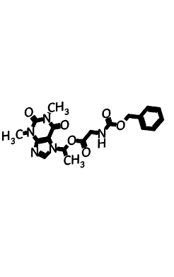 CC(OC(=O)CNC(=O)OCc1ccccc1)n1cnc2c1c(=O)n(C)c(=O)n2C